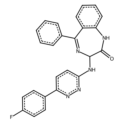 O=C1Nc2ccccc2C(c2ccccc2)=NC1Nc1ccc(-c2ccc(F)cc2)nn1